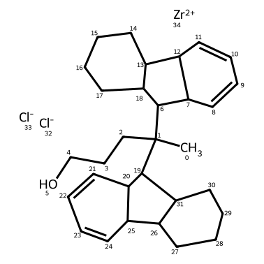 CC(CCCO)(C1C2C=CC=CC2C2CCCCC21)C1C2C=CC=CC2C2CCCCC21.[Cl-].[Cl-].[Zr+2]